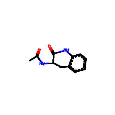 CC(=O)NC1Cc2ccccc2NC1=O